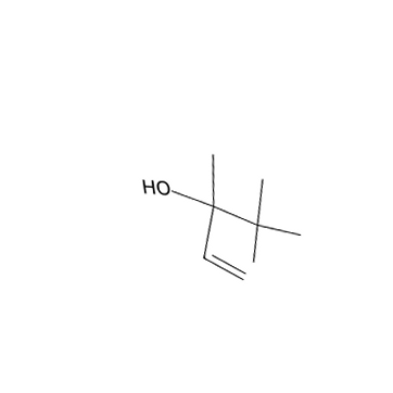 C=CC(C)(O)C(C)(C)C